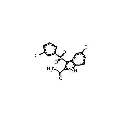 NC(=O)c1[nH]c2ccc(Cl)cc2c1S(=O)(=O)c1cccc(Cl)c1